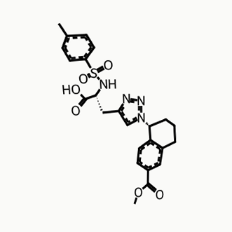 COC(=O)c1ccc2c(c1)CCC[C@H]2n1cc(C[C@@H](NS(=O)(=O)c2ccc(C)cc2)C(=O)O)nn1